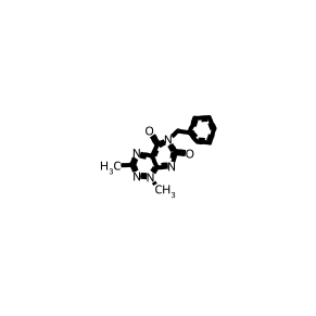 Cc1nc2c(=O)n(Cc3ccccc3)c(=O)nc-2n(C)n1